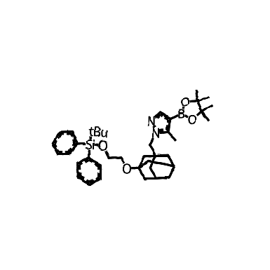 Cc1c(B2OC(C)(C)C(C)(C)O2)cnn1CC12CC3CC(C1)CC(OCCO[Si](c1ccccc1)(c1ccccc1)C(C)(C)C)(C3)C2